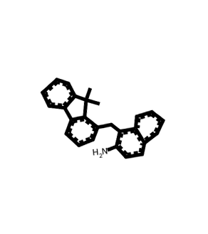 CC1(C)c2ccccc2-c2cccc(Cc3c(N)ccc4ccccc34)c21